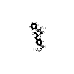 CC(C)(C)OC(=O)NC(Cc1ccc(NS(=O)(=O)O)cc1)C(=O)Nc1ccccc1